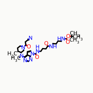 C[C@@H]1CCN(C(=O)CC#N)C[C@@H]1N(C)c1ncnc2c1ccn2C(=O)NCCCC(=O)NCCCCNC(=O)OC(C)(C)C